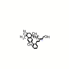 C/C(C=Cc1ccccc1-c1cc2c(cc1C)C(C)(C)CCC2(C)C)=C\CO